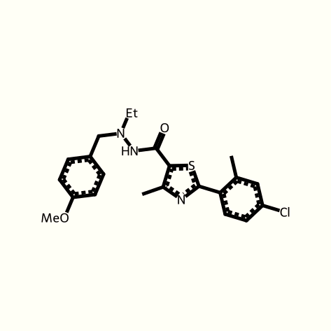 CCN(Cc1ccc(OC)cc1)NC(=O)c1sc(-c2ccc(Cl)cc2C)nc1C